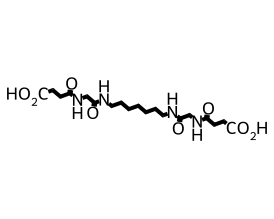 O=C(O)CCC(=O)NCC(=O)NCCCCCCCNC(=O)CNC(=O)CCC(=O)O